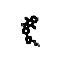 COc1cncc(-c2ccc3[nH]c4c(c3c2)C(=O)c2cnccc2C4=O)c1